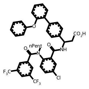 CCCCCN(C(=O)c1cc(C(F)(F)F)cc(C(F)(F)F)c1)c1ccc(Cl)cc1C(=O)NC(CC(=O)O)c1ccc(-c2ccccc2Oc2ccccc2)cc1